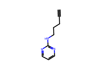 C#CCCCNc1ncccn1